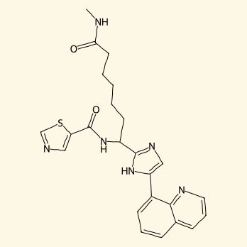 CNC(=O)CCCCCC(NC(=O)c1cncs1)c1ncc(-c2cccc3cccnc23)[nH]1